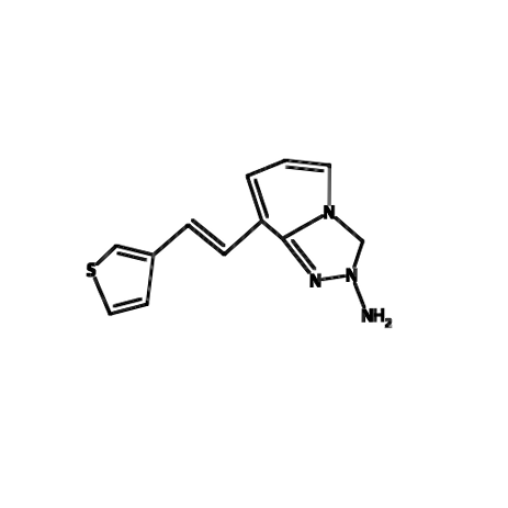 NN1CN2C=CC=C(C=Cc3ccsc3)C2=N1